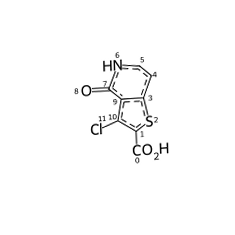 O=C(O)c1sc2cc[nH]c(=O)c2c1Cl